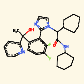 CC(O)(c1ccccn1)c1ccc(F)c(F)c1-c1nccn1C(C(=O)NC1CCCCC1)C1CCCCC1